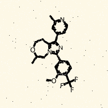 COc1cc(-c2nc(-c3ccnc(C)c3)c3n2CC(C)OCC3)ccc1C(F)(F)F